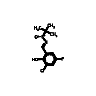 CC(C)(C)[S@@+]([O-])/N=C/c1cc(F)cc(Cl)c1O